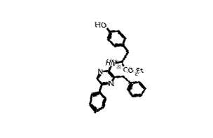 CCOC(=O)[C@H](Cc1ccc(O)cc1)Nc1ncc(-c2ccccc2)nc1Cc1ccccc1